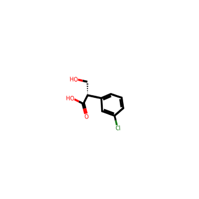 O=C(O)[C@H](CO)c1cccc(Cl)c1